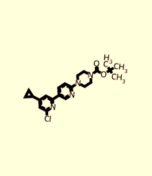 CC(C)(C)OC(=O)N1CCN(c2ccc(-c3cc(C4CC4)cc(Cl)n3)cn2)CC1